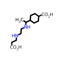 CC(NCCNCCC(=O)O)C1CCC(C(=O)O)CC1